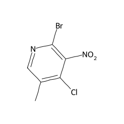 Cc1cnc(Br)c([N+](=O)[O-])c1Cl